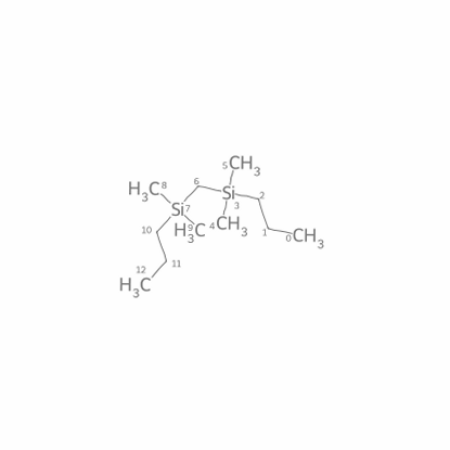 CCC[Si](C)(C)C[Si](C)(C)CCC